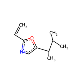 C=Cc1ncc(C(C)C(C)C)o1